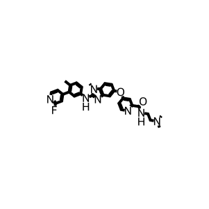 Cc1ccc(Nc2nc3cc(Oc4ccnc(C(=O)NCCN(C)C)c4)ccc3n2C)cc1-c1ccnc(F)c1